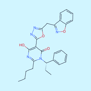 CCCCc1nc(O)c(-c2nnc(Cc3noc4ccccc34)o2)c(=O)n1[C@@H](CC)c1ccccc1